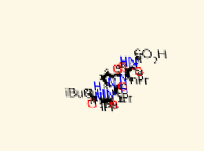 CCCC(NC(=O)[C@@H]1CCCN1C(=O)[C@@H](NC(=O)[C@@H](NC(=O)OCC(C)C)C(C)C)C(C)C)C(=O)C(=O)NCC(=O)O